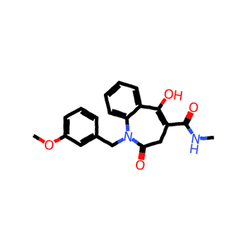 CNC(=O)C1=C(O)c2ccccc2N(Cc2cccc(OC)c2)C(=O)C1